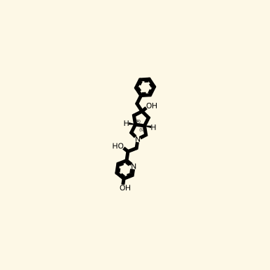 Oc1ccc(C(O)CN2C[C@@H]3CC(O)(Cc4ccccc4)C[C@@H]3C2)nc1